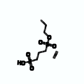 C=C.CCCOS(=O)(=O)CCCS(=O)(=O)O